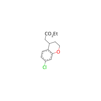 CCOC(=O)CC1CCOc2cc(Cl)ccc21